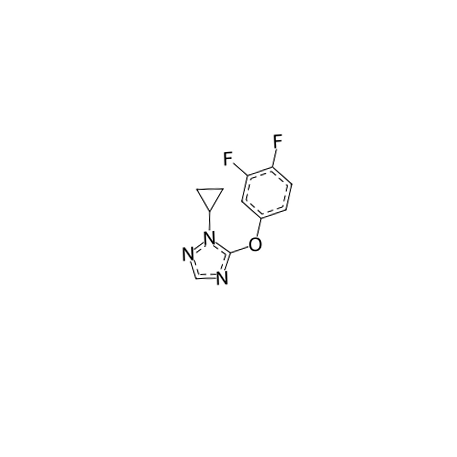 Fc1ccc(Oc2ncnn2C2CC2)cc1F